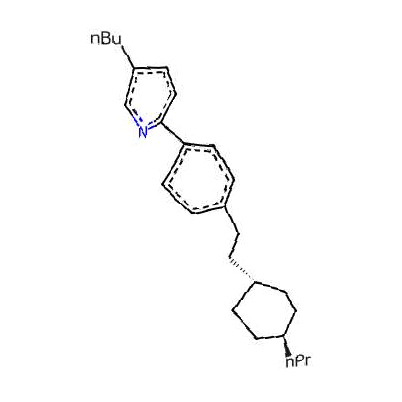 CCCCc1ccc(-c2ccc(CC[C@H]3CC[C@H](CCC)CC3)cc2)nc1